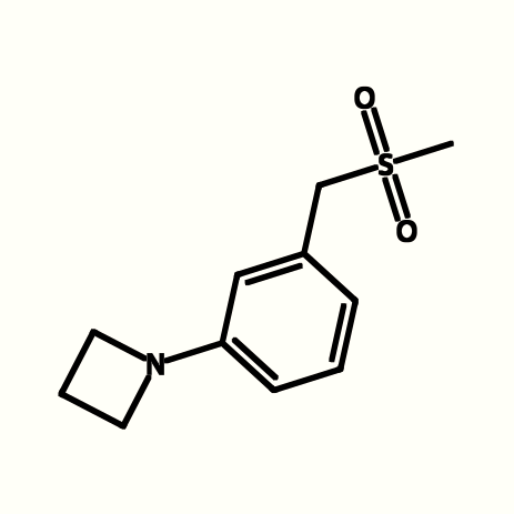 CS(=O)(=O)Cc1cccc(N2CCC2)c1